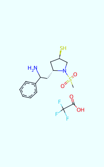 CS(=O)(=O)N1C[C@H](S)C[C@H]1CC(N)c1ccccc1.O=C(O)C(F)(F)F